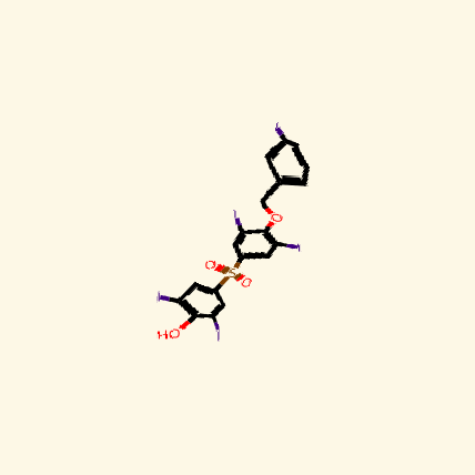 O=S(=O)(c1cc(I)c(O)c(I)c1)c1cc(I)c(OCc2cccc(I)c2)c(I)c1